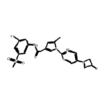 Cc1cc(C(=O)Nc2cc(Cl)cc(S(C)(=O)=O)c2)cn1-c1ncc(N2CC(F)C2)cn1